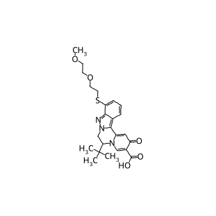 COCCOCCSc1cccc2c3n(nc12)CC(C(C)(C)C)n1cc(C(=O)O)c(=O)cc1-3